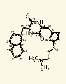 CN(C)CCSc1ccc(C=c2[nH]c(=O)c(=Cc3ccc4ccccc4c3)[nH]c2=O)s1